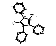 CC1=C(c2ccccc2)C(c2ccccc2)=C(C)[C]1c1ccccc1